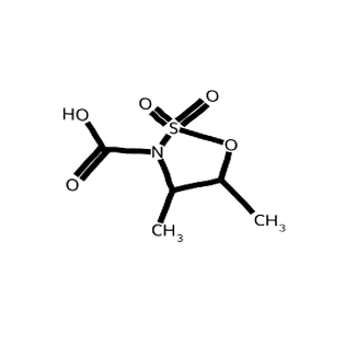 CC1OS(=O)(=O)N(C(=O)O)C1C